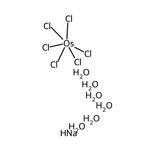 O.O.O.O.O.O.[Cl][Os]([Cl])([Cl])([Cl])([Cl])[Cl].[NaH]